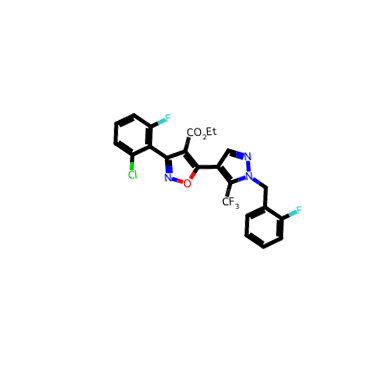 CCOC(=O)c1c(-c2c(F)cccc2Cl)noc1-c1cnn(Cc2ccccc2F)c1C(F)(F)F